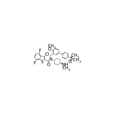 C=S(C)(=O)c1ccc(-c2ccc(OC)c(CN(C(=O)c3sc4c(F)ccc(F)c4c3Cl)[C@H]3CC[C@H](NC)CC3)c2)cc1